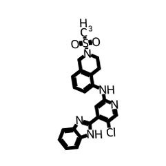 CS(=O)(=O)N1CCc2c(cccc2Nc2cc(-c3nc4ccccc4[nH]3)c(Cl)cn2)C1